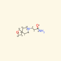 NC(=O)[CH]CN1CCC2(CCOC2)CC1